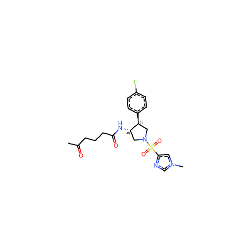 CC(=O)CCCC(=O)N[C@H]1CN(S(=O)(=O)c2cn(C)cn2)C[C@@H]1c1ccc(F)cc1